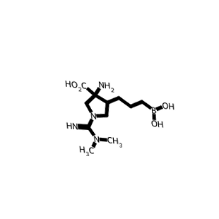 CN(C)C(=N)N1CC(CCCB(O)O)C(N)(C(=O)O)C1